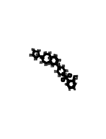 O=S(=O)(c1ccccc1Cl)N1CCN(c2ccc3c(c2)CCN(C2CCCC2)CC3)CC1